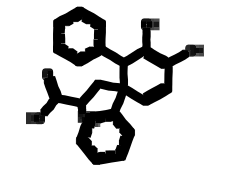 NC(CC1(c2ccccc2)C=CC(O)=C(O)C1c1ccccc1)C(=O)O